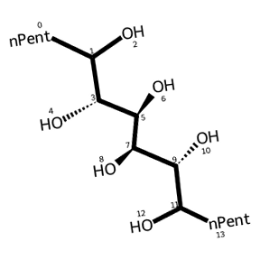 CCCCCC(O)[C@@H](O)[C@@H](O)[C@H](O)[C@H](O)C(O)CCCCC